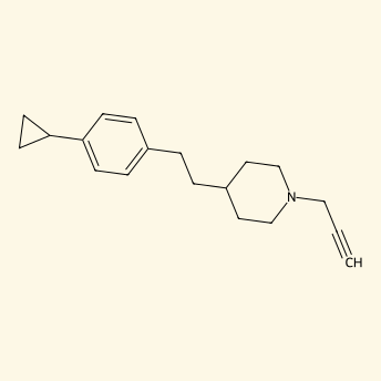 C#CCN1CCC(CCc2ccc(C3CC3)cc2)CC1